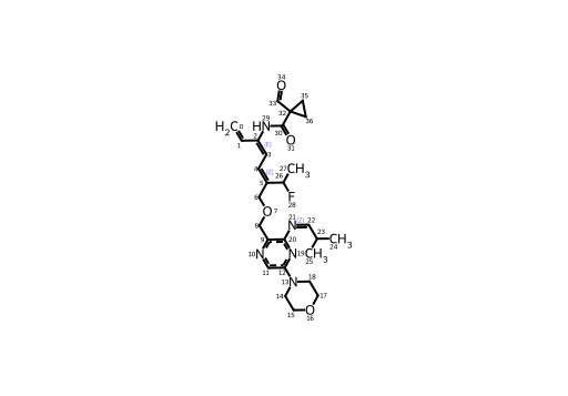 C=C/C(=C\C=C(\COCc1ncc(N2CCOCC2)nc1/N=C\C(C)C)C(C)F)NC(=O)C1(C=O)CC1